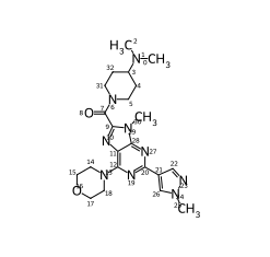 CN(C)C1CCN(C(=O)c2nc3c(N4CCOCC4)nc(-c4cnn(C)c4)nc3n2C)CC1